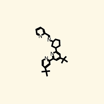 CC(C)(C)c1ccnc(-c2cc(C(C)(C)C)cc(C3CCCC(/N=C/c4ccccn4)C3)n2)c1